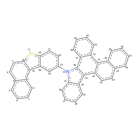 c1ccc2c(c1)ccc1sc3ccc(-n4c5ccccc5c5c6ccc7ccccc7c6c6ccccc6c54)cc3c12